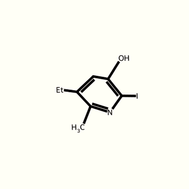 CCc1cc(O)c(I)nc1C